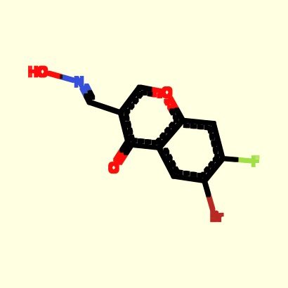 O=c1c(C=NO)coc2cc(F)c(Br)cc12